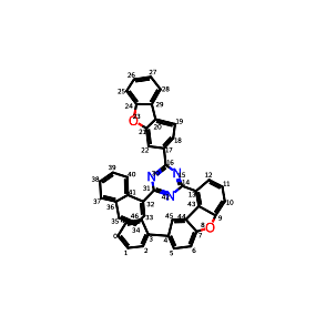 c1ccc(-c2ccc3oc4cccc(-c5nc(-c6ccc7c(c6)oc6ccccc67)nc(-c6cccc7ccccc67)n5)c4c3c2)cc1